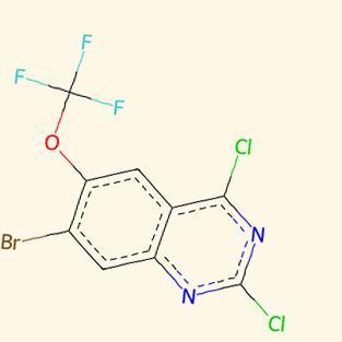 FC(F)(F)Oc1cc2c(Cl)nc(Cl)nc2cc1Br